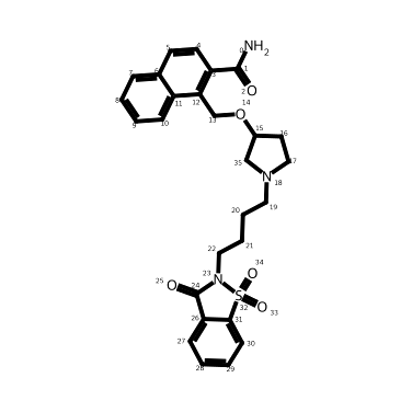 NC(=O)c1ccc2ccccc2c1COC1CCN(CCCCN2C(=O)c3ccccc3S2(=O)=O)C1